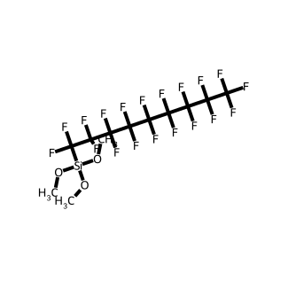 CO[Si](OC)(OC)C(F)(F)C(F)(F)C(F)(F)C(F)(F)C(F)(F)C(F)(F)C(F)(F)C(F)(F)C(F)(F)F